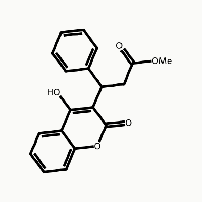 COC(=O)CC(c1ccccc1)c1c(O)c2ccccc2oc1=O